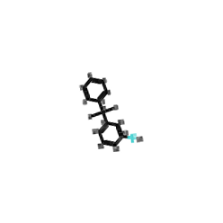 CC(C)(c1ccccc1)c1cccc(F)c1